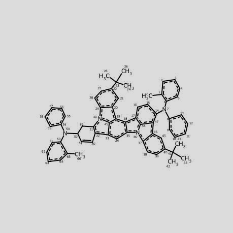 Cc1ccccc1N(c1ccccc1)c1ccc2c3c4c5cc(C(C)(C)C)ccc5n5c6c(c(cc3n3c7ccc(C(C)(C)C)cc7c1c23)c45)C=CC(N(c1ccccc1)c1ccccc1C)C6